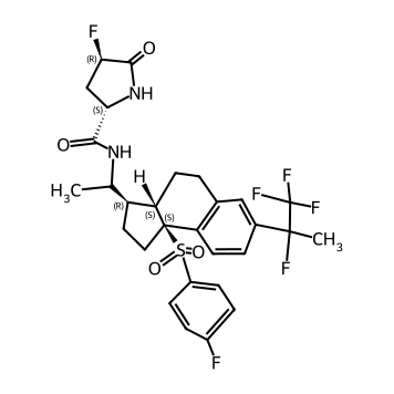 CC(NC(=O)[C@@H]1C[C@@H](F)C(=O)N1)[C@@H]1CC[C@@]2(S(=O)(=O)c3ccc(F)cc3)c3ccc(C(C)(F)C(F)(F)F)cc3CC[C@@H]12